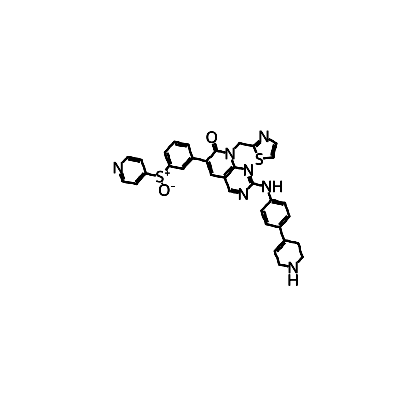 O=c1c(-c2cccc([S+]([O-])c3ccncc3)c2)cc2cnc(Nc3ccc(C4=CCNCC4)cc3)nc2n1Cc1nccs1